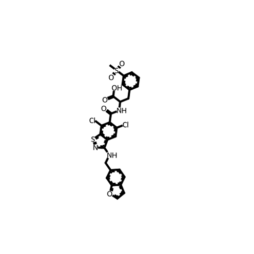 CS(=O)(=O)c1cccc(CC(NC(=O)c2c(Cl)cc3c(NCc4ccc5ccoc5c4)nsc3c2Cl)C(=O)O)c1